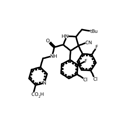 CC(C)(C)CC1NC(C(=O)NCc2ccc(C(=O)O)nc2)C(c2cccc(Cl)c2F)C1(C#N)c1ccc(Cl)cc1F